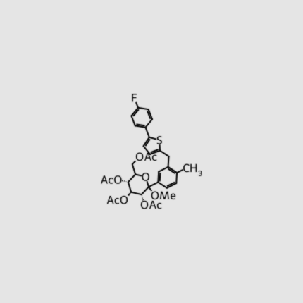 COC1(c2ccc(C)c(Cc3ccc(-c4ccc(F)cc4)s3)c2)OC(COC(C)=O)[C@@H](OC(C)=O)[C@H](OC(C)=O)[C@H]1OC(C)=O